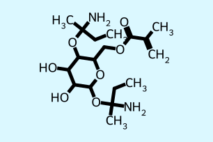 C=C(C)C(=O)OCC1OC(OC(C)(N)CC)C(O)C(O)C1OC(C)(N)CC